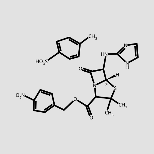 CC1(C)S[C@H]2C(Nc3ncc[nH]3)C(=O)N2C1C(=O)OCc1ccc([N+](=O)[O-])cc1.Cc1ccc(S(=O)(=O)O)cc1